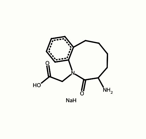 NC1CCCCc2ccccc2N(CC(=O)O)C1=O.[NaH]